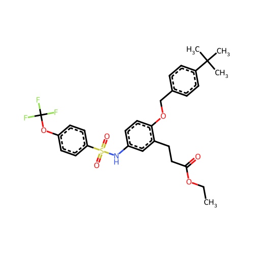 CCOC(=O)CCc1cc(NS(=O)(=O)c2ccc(OC(F)(F)F)cc2)ccc1OCc1ccc(C(C)(C)C)cc1